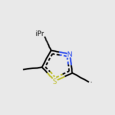 [CH2]c1nc(C(C)C)c(C)s1